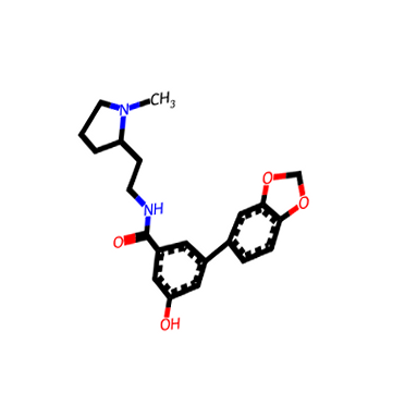 CN1CCCC1CCNC(=O)c1cc(O)cc(-c2ccc3c(c2)OCO3)c1